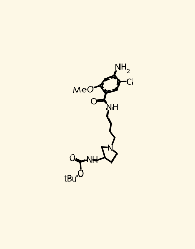 COc1cc(N)c(Cl)cc1C(=O)NCCCCN1CCC(CNC(=O)OC(C)(C)C)C1